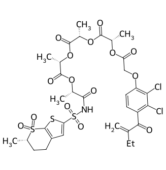 C=C(CC)C(=O)c1ccc(OCC(=O)O[C@@H](C)C(=O)O[C@@H](C)C(=O)O[C@@H](C)C(=O)O[C@@H](C)C(=O)NS(=O)(=O)c2cc3c(s2)S(=O)(=O)[C@@H](C)CC3)c(Cl)c1Cl